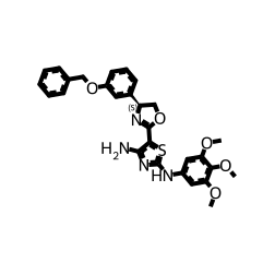 COc1cc(Nc2nc(N)c(C3=N[C@@H](c4cccc(OCc5ccccc5)c4)CO3)s2)cc(OC)c1OC